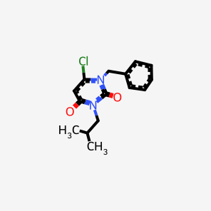 CC(C)Cn1c(=O)cc(Cl)n(Cc2ccccc2)c1=O